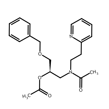 CC(=O)O[C@@H](COCc1ccccc1)CN(CCc1ccccn1)C(C)=O